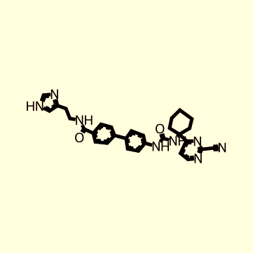 N#Cc1nccc(C2(NC(=O)Nc3ccc(-c4ccc(C(=O)NCCc5c[nH]cn5)cc4)cc3)CCCCC2)n1